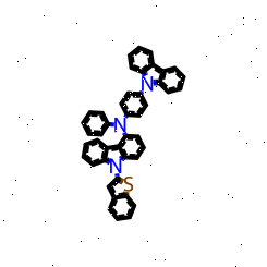 c1ccc(N(c2ccc(-n3c4ccccc4c4ccccc43)cc2)c2cccc3c2c2ccccc2n3-c2cc3ccccc3s2)cc1